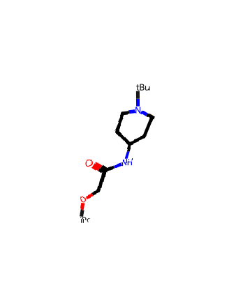 CC(C)OCC(=O)NC1CCN(C(C)(C)C)CC1